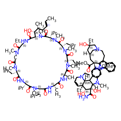 C/C=C/C[C@@H](C)[C@@H](O)[C@H]1C(=O)N[C@@H](CC)C(=O)N(C)CC(=O)N(C)[C@@H](CC(C)C)C(=O)N[C@@H](C(C)C)C(=O)N(C)[C@@H](CC(C)C)C(=O)N[C@@H](C)C(=O)N[C@H](C)C(=O)N(C)[C@@H](CC(C)C)C(=O)N(C)[C@@H](CC(C)C)C(=O)N(C)[C@@H](C(C)C)C(=O)N1C.CC[C@]1(O)C[C@H]2C[N@](CCc3c([nH]c4ccccc34)[C@@](C(=O)OC)(c3cc4c(cc3OC)N(C)[C@H]3[C@@](O)(C(N)=O)[C@H](O)[C@]5(CC)C=CCN6CC[C@]43[C@@H]65)C2)C1